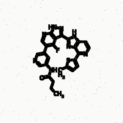 CCCC(=O)Nc1cncc(-c2cnc3[nH]nc(-c4nc5c(-c6ccc(C)s6)nccc5[nH]4)c3c2F)c1